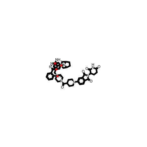 Nc1ccccc1-c1cc(N2CC3CCC(C2)N3c2cccc(CN3CCN(C(=O)C4CCN(c5ccc6c(c5)C(=O)N(C5CCC(=O)NC5=O)C6=O)CC4)CC3)c2)c(N)nn1